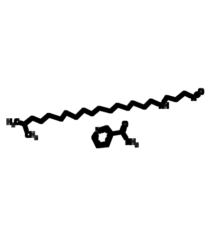 CC(C)CCCCCCCCCCCCCCCNCCCN=O.NC(=O)c1cccnc1